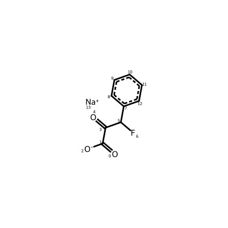 O=C([O-])C(=O)C(F)c1ccccc1.[Na+]